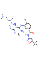 C=C/N=C1/C=NC(N(C)CCN(C)C)=N/C1=C(/N)Nc1cc(C(=O)Nc2cc(C(C)(C)C)on2)ccc1Cl